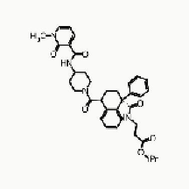 CC(C)OC(=O)CCNC(=O)[C@@]1(c2ccccc2)CC[C@H](C(=O)N2CCC(NC(=O)c3cccn(C)c3=O)CC2)c2ccccc21